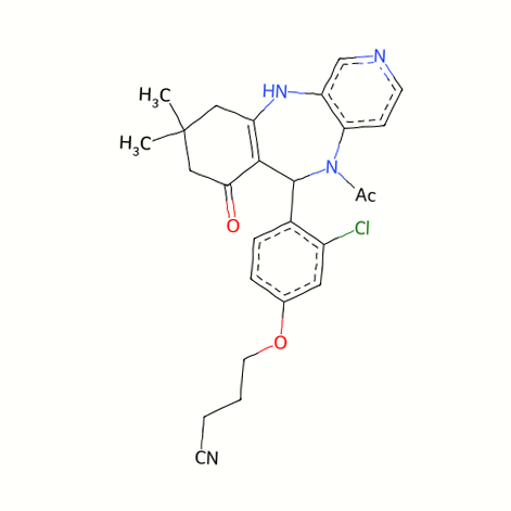 CC(=O)N1c2ccncc2NC2=C(C(=O)CC(C)(C)C2)C1c1ccc(OCCCC#N)cc1Cl